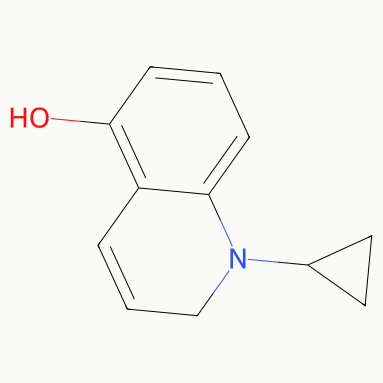 Oc1cccc2c1C=CCN2C1CC1